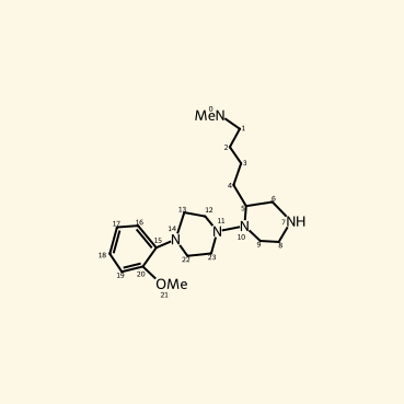 CNCCCCC1CNCCN1N1CCN(c2ccccc2OC)CC1